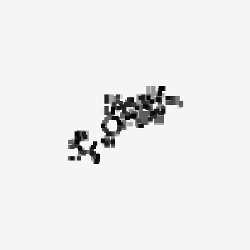 CC1(C)O[C@@H]2[C@@H](CO[C@@]3(CN4CCCC(NCC(=O)N5CCC[C@H]5C#N)C4)OC(C)(C)O[C@@H]23)O1